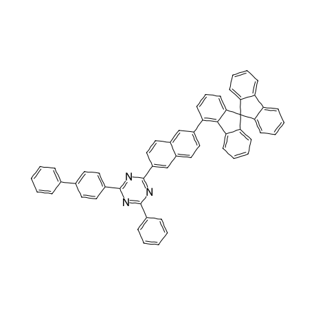 c1ccc(-c2ccc(-c3nc(-c4ccccc4)nc(-c4ccc5cc(-c6cccc7c6-c6ccccc6C76c7ccccc7-c7ccccc76)ccc5c4)n3)cc2)cc1